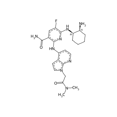 CN(C)C(=O)Cn1ccc2c(Nc3nc(N[C@@H]4CCCC[C@@H]4N)c(F)cc3C(N)=O)ccnc21